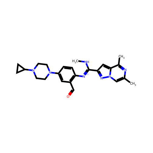 CN/C(=N\c1ccc(N2CCN(C3CC3)CC2)cc1C=O)c1cc2c(C)nc(C)cn2n1